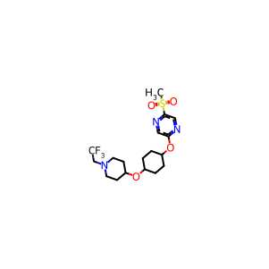 CS(=O)(=O)c1cnc(OC2CCC(OC3CCN(CC(F)(F)F)CC3)CC2)cn1